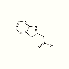 OC(=S)Cc1nc2ccccc2s1